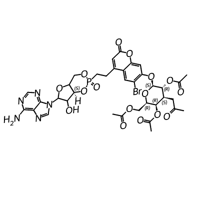 CC(=O)C[C@H]1[C@@H](OC(C)=O)[C@@H](COC(C)=O)O[C@@H](Oc2cc3oc(=O)cc(CCP4(=O)OCC5OC(n6cnc7c(N)ncnc76)C(O)[C@@H]5O4)c3cc2Br)[C@@H]1OC(C)=O